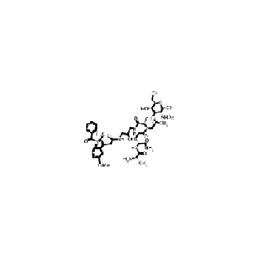 COc1ccc2c(c1)c(CC(=O)NCC(O)CNC(=O)[C@H](C)N(CC(C)O[C@H]1[C@H](O)[C@@H](CO)O[C@H](O)[C@@H]1NC(C)=O)C(=O)CC[C@@H](NC(=O)[C@H](C)N)C(N)=O)c(C)n2C(=O)c1ccccc1